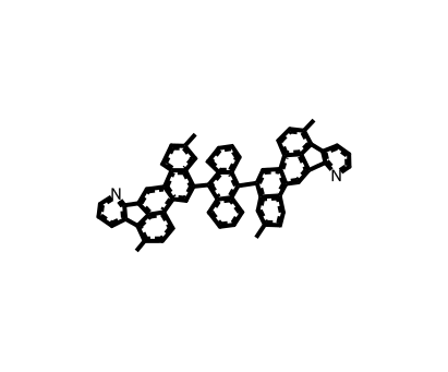 Cc1ccc2c(c1)c(-c1c3ccccc3c(-c3cc4c5ccc(C)c6c5c(cc4c4ccc(C)cc34)-c3ncccc3-6)c3ccccc13)cc1c3ccc(C)c4c3c(cc21)-c1ncccc1-4